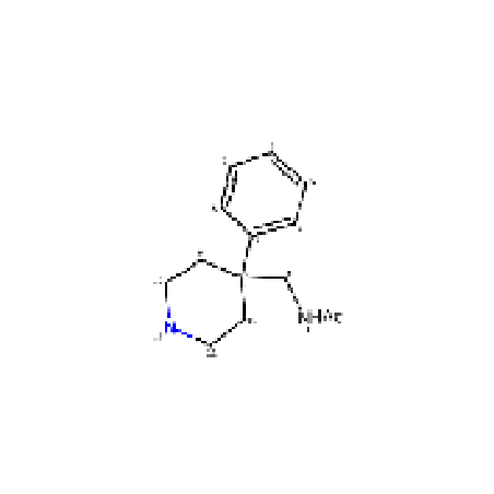 CC(=O)NCC1(c2ccccc2)CC[N]CC1